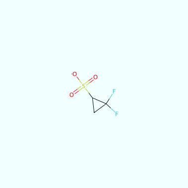 [O]S(=O)(=O)C1CC1(F)F